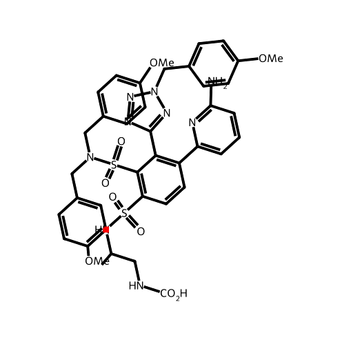 COc1ccc(CN(Cc2ccc(OC)cc2)S(=O)(=O)c2c(S(=O)(=O)NC(C)CNC(=O)O)ccc(-c3cccc(N)n3)c2-c2nnn(Cc3ccc(OC)cc3)n2)cc1